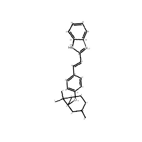 CC1CCC2C(C)(C)C2(Oc2ccc(C=Cc3nc4ccccc4[nH]3)cc2)C1